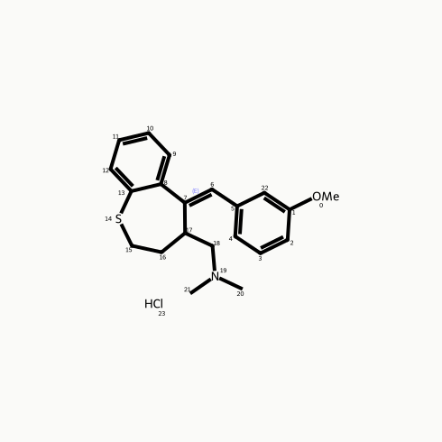 COc1cccc(/C=C2/c3ccccc3SCCC2CN(C)C)c1.Cl